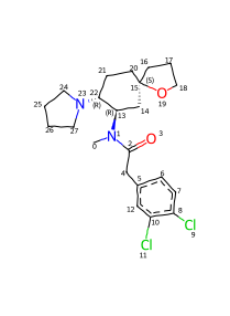 CN(C(=O)Cc1ccc(Cl)c(Cl)c1)[C@@H]1C[C@@]2(CCCO2)CC[C@H]1N1CCCC1